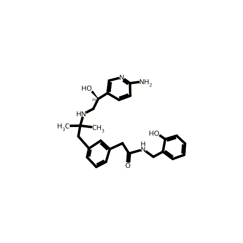 CC(C)(Cc1cccc(CC(=O)NCc2ccccc2O)c1)NC[C@@H](O)c1ccc(N)nc1